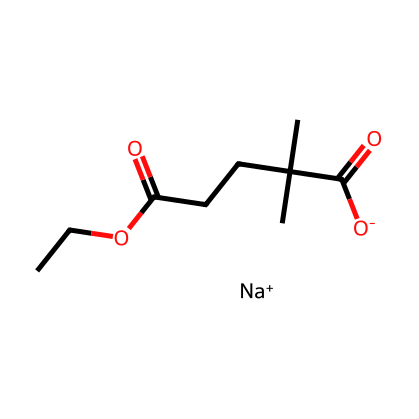 CCOC(=O)CCC(C)(C)C(=O)[O-].[Na+]